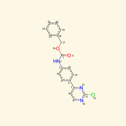 O=C(Nc1ccc(-c2ccnc(Cl)n2)cc1)OCc1ccccc1